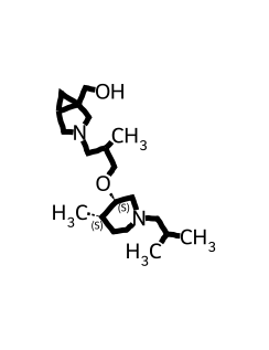 CC(C)CN1CC[C@H](C)[C@H](OCC(C)CN2CC3CC3(CO)C2)C1